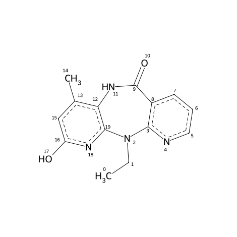 CCN1c2ncccc2C(=O)Nc2c(C)cc(O)nc21